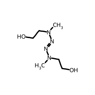 CN(CCO)N=NN(C)CCO